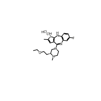 CCOCC[C@H]1CN(C2=Nc3cc(F)ccc3Nc3sc(C)cc32)CCN1C.Cl.Cl